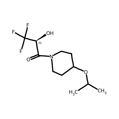 CC(C)OC1CCN(C(=O)[C@H](O)C(F)(F)F)CC1